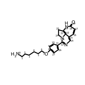 NCCCCCCOc1ccc(C2=NC=C3C=CC(=O)NC4=C3N2CC4)cc1